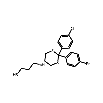 Clc1ccc(C2(c3ccc(Br)cc3)SCCCS2)cc1.SCCCS